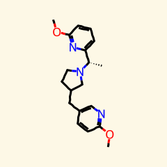 COc1ccc(CC2CCN([C@@H](C)c3cccc(OC)n3)C2)cn1